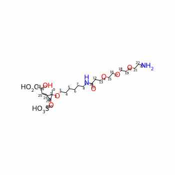 CC1(OCCCCCCNC(=O)CCOCCOCCOCCN)C(=CC(O)C(=O)O)[C@@H]1OS(=O)(=O)O